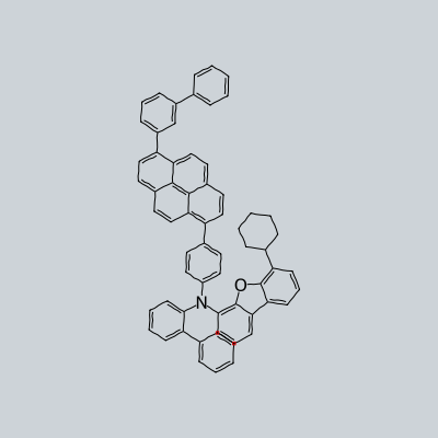 c1ccc(-c2cccc(-c3ccc4ccc5c(-c6ccc(N(c7ccccc7-c7ccccc7)c7cccc8c7oc7c(C9CCCCC9)cccc78)cc6)ccc6ccc3c4c65)c2)cc1